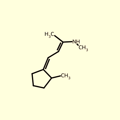 CN/C(C)=C/C=C1/CCCC1C